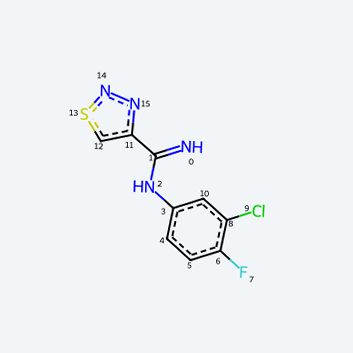 N=C(Nc1ccc(F)c(Cl)c1)c1csnn1